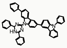 c1ccc(C2=NC(n3c4ccc(-c5ccc6c(c5)c5ccccc5n6-c5ccccc5)cc4c4ccc(-c5ccccc5)cc43)=NC(c3ccccc3)N2)cc1